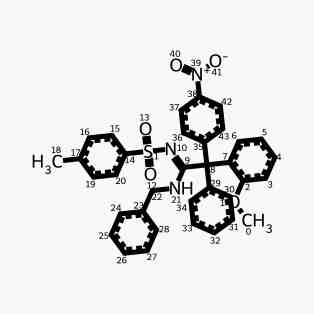 COc1ccccc1C(C(=NS(=O)(=O)c1ccc(C)cc1)NCc1ccccc1)(c1ccccc1)c1ccc([N+](=O)[O-])cc1